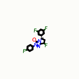 O=c1n(-c2ccc(F)cc2)nc2n1[C@H](c1cc(F)cc(F)c1)CC2F